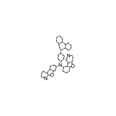 c1ccc2c(c1)cc(-c1ccc(N(c3ccc4c(c3)oc3ncccc34)c3cccc4oc5ccncc5c34)cc1)c1ccccc12